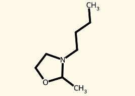 CCCCN1CCOC1C